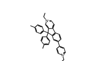 CC[n+]1ccc(-c2ccc3c(c2)C(c2ccc(C)cc2)(c2ccc(C)cc2)c2c[n+](CC)ccc2-3)cc1